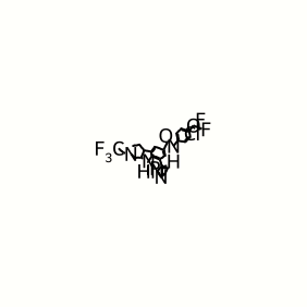 CC(C)N1c2c(-c3ccn[nH]3)cc(C(=O)Nc3ccc(OC(F)(F)Cl)cc3)cc2C2CCN(CC(F)(F)F)CC21